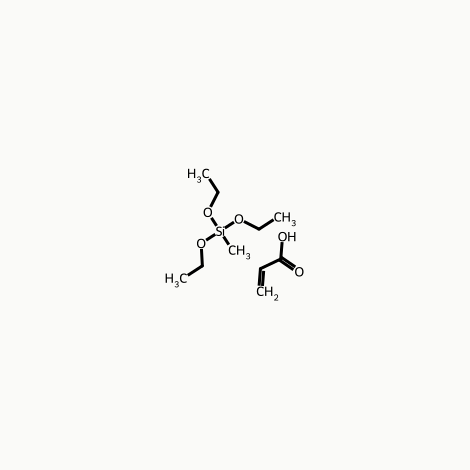 C=CC(=O)O.CCO[Si](C)(OCC)OCC